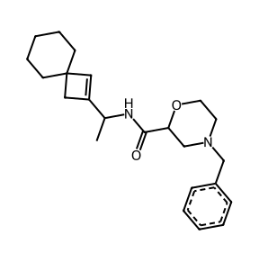 CC(NC(=O)C1CN(Cc2ccccc2)CCO1)C1=CC2(CCCCC2)C1